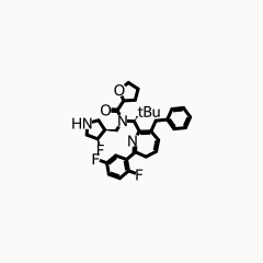 CC(C)(C)[C@H](C1=C(Cc2ccccc2)C=CCC(c2cc(F)ccc2F)=N1)N(C[C@@H]1CNC[C@@H]1F)C(=O)C1CCCO1